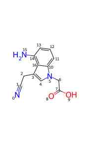 N#CCc1cn(CC(=O)O)c2cccc(N)c12